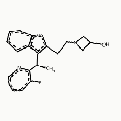 C[C@@H](c1ncccc1F)c1c(CCN2CC(O)C2)sc2ccccc12